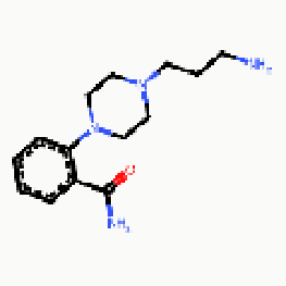 NCCCN1CCN(c2ccccc2C(N)=O)CC1